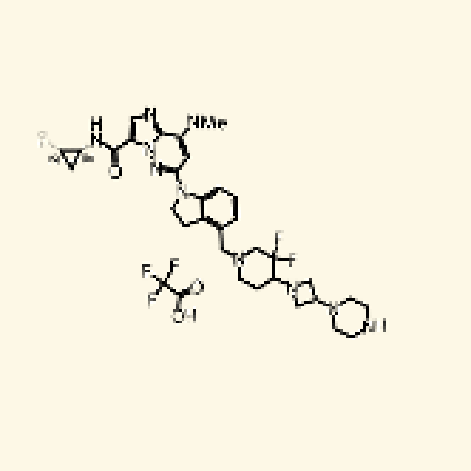 CNc1cc(N2CCc3c(CN4CCC(N5CC(N6CCNCC6)C5)C(F)(F)C4)cccc32)nn2c(C(=O)N[C@@H]3C[C@@H]3F)cnc12.O=C(O)C(F)(F)F